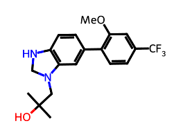 COc1cc(C(F)(F)F)ccc1-c1ccc2c(c1)N(CC(C)(C)O)CN2